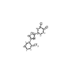 FC(F)(F)c1ccncc1-c1noc(-c2ccc(Cl)c(Cl)c2)n1